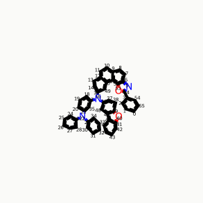 c1ccc(-c2nc3ccc4ccc5ccc(N(c6cccc(N(c7ccccc7)c7ccccc7)c6)c6ccc7oc8ccccc8c7c6)cc5c4c3o2)cc1